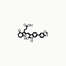 O=C(O)CCc1c(C=C2C(=O)Nc3cc(-c4ccc5c(c4)OCO5)ccc32)[nH]c2c1C(=O)CCC2